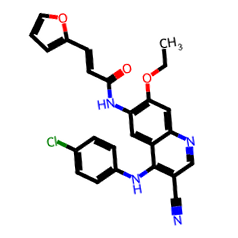 CCOc1cc2ncc(C#N)c(Nc3ccc(Cl)cc3)c2cc1NC(=O)C=Cc1ccco1